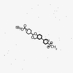 CC(C)(C)OC(=O)N1CCC(C2OCc3cc(-c4ccc(S(C)(=O)=O)nc4)ccc3O2)CC1